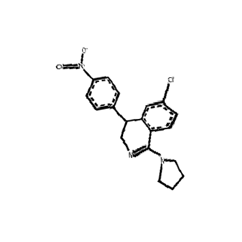 O=[N+]([O-])c1ccc(C2CN=C(N3CCCC3)c3ccc(Cl)cc32)cc1